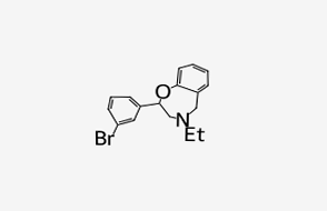 CCN1Cc2ccccc2OC(c2cccc(Br)c2)C1